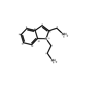 NCCn1c(CN)cc2ccccc21